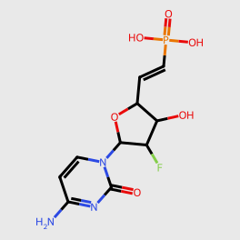 Nc1ccn(C2OC(C=CP(=O)(O)O)C(O)C2F)c(=O)n1